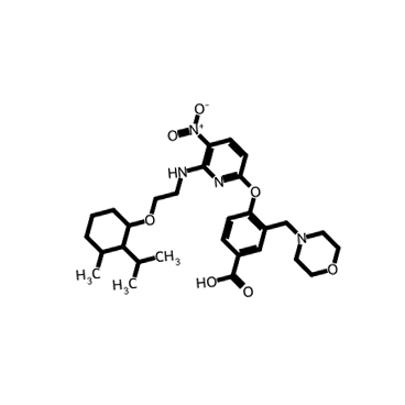 CC(C)C1C(C)CCCC1OCCNc1nc(Oc2ccc(C(=O)O)cc2CN2CCOCC2)ccc1[N+](=O)[O-]